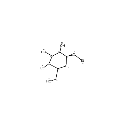 CCO[C@H]1OC(CO)C(CC)C(O)C1O